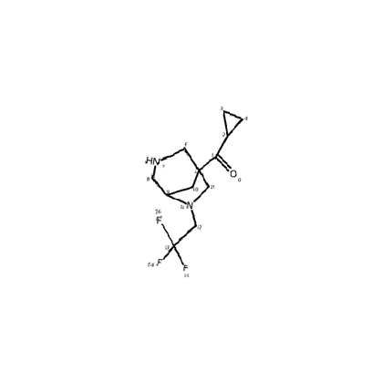 O=C(C1CC1)C12CNCC(C1)N(CC(F)(F)F)C2